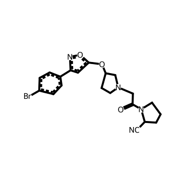 N#CC1CCCN1C(=O)CN1CCC(Oc2cc(-c3ccc(Br)cc3)no2)C1